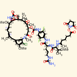 C=C(CCCCC(=O)ON1C(=O)CCC1=O)N[C@H](C(=O)N[C@@H](CCCNC(N)=O)C(=O)Nc1cc(F)c(NC(=O)O[C@H]2CC(=O)N(C)c3cc(cc(OC)c3Cl)C/C(C)=C/C=C/[C@@H](OC)[C@@]3(O)C[C@H](OC(=O)N3)[C@@H](C)[C@@H]3O[C@@]23C)cc1F)C(C)OC